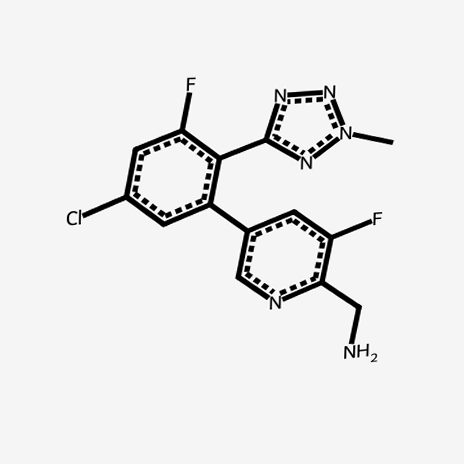 Cn1nnc(-c2c(F)cc(Cl)cc2-c2cnc(CN)c(F)c2)n1